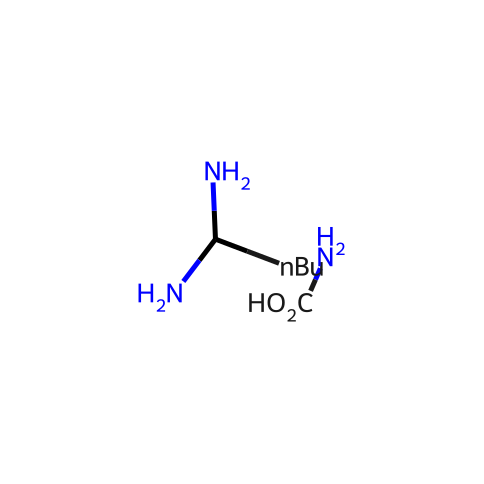 CCCCC(N)N.NC(=O)O